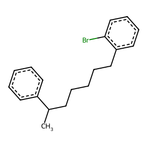 CC(CCCCCc1ccccc1Br)c1ccccc1